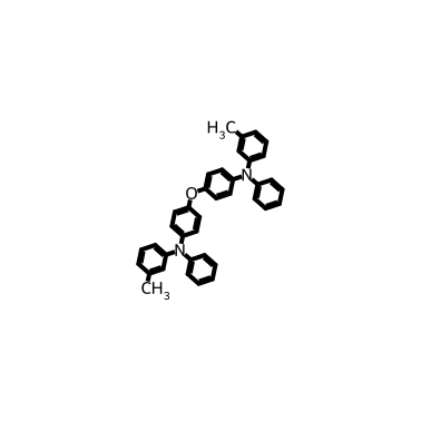 Cc1cccc(N(c2ccccc2)c2ccc(Oc3ccc(N(c4ccccc4)c4cccc(C)c4)cc3)cc2)c1